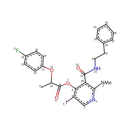 CNc1ncc(I)c(OC(=O)C(C)Oc2ccc(F)cc2)c1C(=O)NCCc1ccccc1